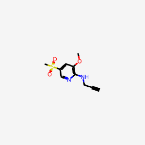 C#CCNc1ncc(S(C)(=O)=O)cc1OC